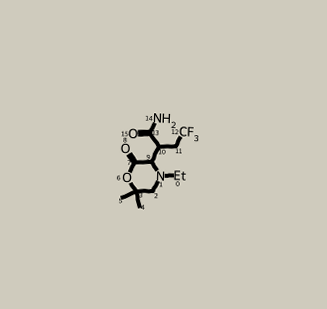 CCN1CC(C)(C)OC(=O)C1C(CC(F)(F)F)C(N)=O